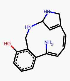 N/C1=C\C=C/C2=CC(NC2)NCc2c(O)cccc21